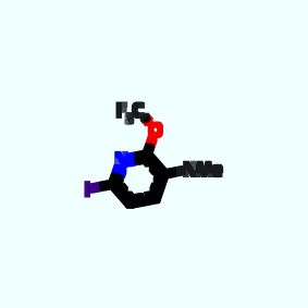 CNc1ccc(I)nc1OC(F)(F)F